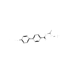 CCCCCCc1ccc(-c2ccc(C(=O)OC(C)OCCCC)cc2)cc1